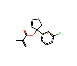 C=C(C)C(=O)OC1(c2cccc(F)c2)C=CCC1